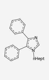 CCCCCCCn1cnc(-c2ccccc2)c1-c1ccccc1